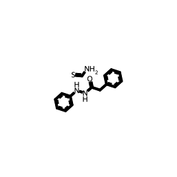 NC=S.O=C(Cc1ccccc1)NNc1ccccc1